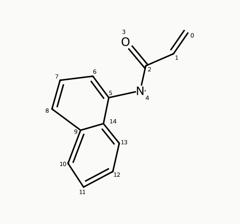 C=CC(=O)[N]c1cccc2ccccc12